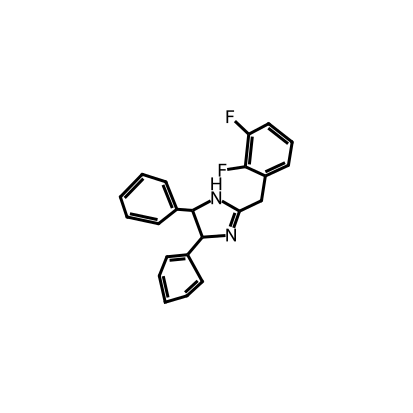 Fc1cccc(CC2=NC(c3ccccc3)C(c3ccccc3)N2)c1F